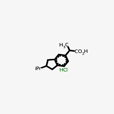 CC(C(=O)O)c1ccc2c(c1)CC(C(C)C)C2.Cl